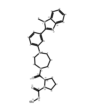 Cn1c(-c2cccc(N3CCCN(C(=O)[C@H]4CCCN4C(=O)OC(C)(C)C)CC3)c2)nc2ccccc21